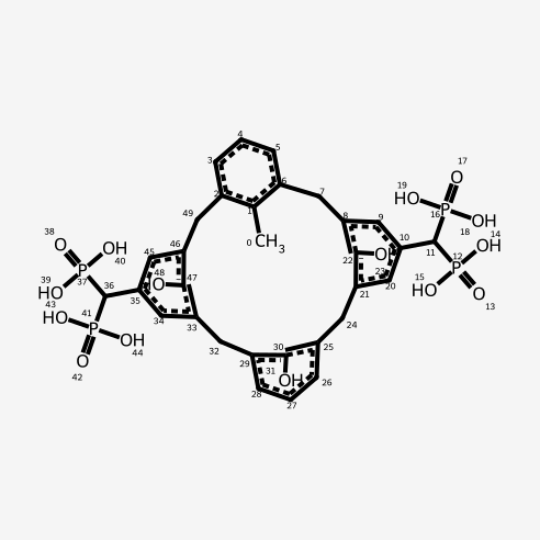 Cc1c2cccc1Cc1cc(C(P(=O)(O)O)P(=O)(O)O)cc(c1O)Cc1cccc(c1O)Cc1cc(C(P(=O)(O)O)P(=O)(O)O)cc(c1O)C2